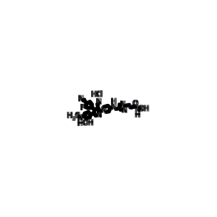 CNc1ccc(-c2cnc(N3CCC(NCc4cnc(/C=C/C(=O)NO)nc4)CC3)c(C#N)c2-c2ccc(C#N)c(F)c2)cc1O.Cl